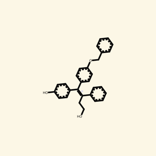 OCC/C(=C(\c1ccc(O)cc1)c1ccc(OCc2ccccc2)cc1)c1ccccc1